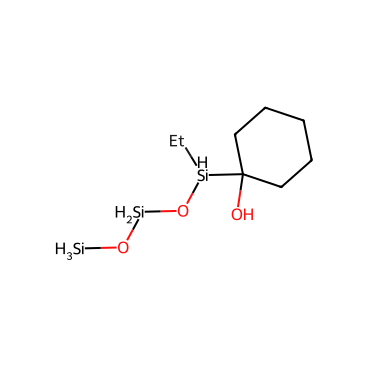 CC[SiH](O[SiH2]O[SiH3])C1(O)CCCCC1